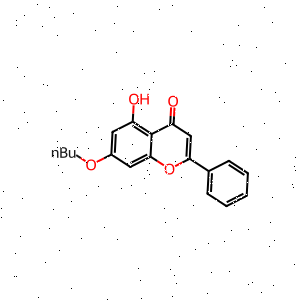 CCCCOc1cc(O)c2c(=O)cc(-c3ccccc3)oc2c1